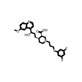 COc1ccc2nccc([C@H](O)CC[C@@H]3CCN(CCCSc4cc(F)cc(F)c4)C[C@@H]3C(=O)O)c2c1